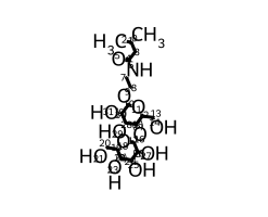 CC(C)CC(=O)NCCOC1OC(CO)[C@@H](OC2OC(CO)[C@H](O)C(O)[C@@H]2O)C(O)[C@@H]1O